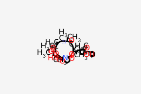 CCC1/C=C(\C)CC(C)CC(OC)C2OC(O)(C(=O)C(=O)N3CCCCC3C(=O)OC(C(C)=CC3CCC(O)(Cc4ccccc4)C(OC)C3)C(C)CCC1=O)C(C)CC2OC